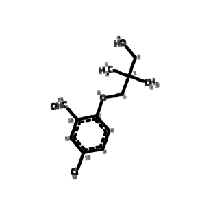 CC(C)(CO)COc1ccc(Cl)cc1C=O